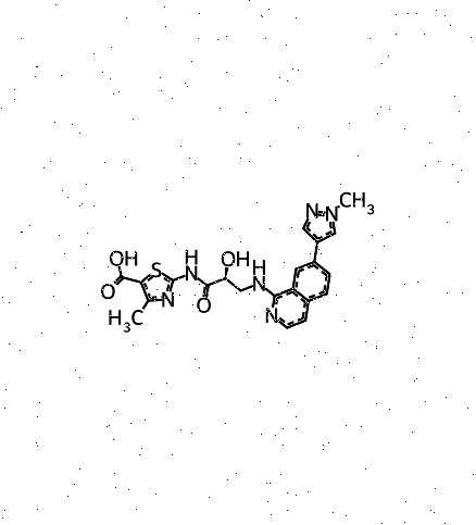 Cc1nc(NC(=O)[C@@H](O)CNc2nccc3ccc(-c4cnn(C)c4)cc23)sc1C(=O)O